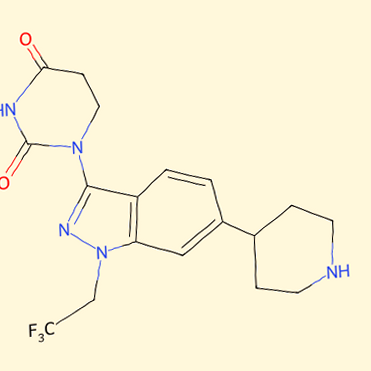 O=C1CCN(c2nn(CC(F)(F)F)c3cc(C4CCNCC4)ccc23)C(=O)N1